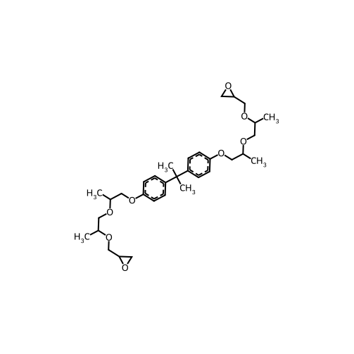 CC(COc1ccc(C(C)(C)c2ccc(OCC(C)OCC(C)OCC3CO3)cc2)cc1)OCC(C)OCC1CO1